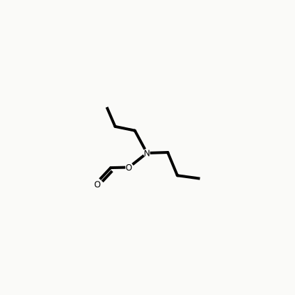 CCCN(CCC)OC=O